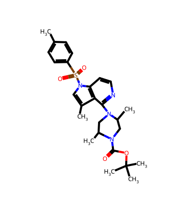 Cc1ccc(S(=O)(=O)n2cc(C)c3c(N4CC(C)N(C(=O)OC(C)(C)C)CC4C)nccc32)cc1